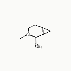 CN1CCC2CC2C1C(C)(C)C